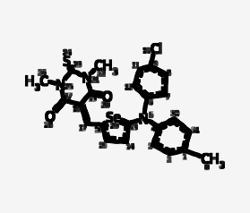 Cc1ccc(N(c2ccc(Cl)cc2)c2ccc(C=C3C(=O)N(C)C(=S)N(C)C3=O)[se]2)cc1